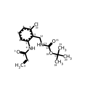 C=CC(=O)Nc1cccc(Cl)c1CNC(=O)OC(C)(C)C